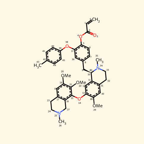 C=CC(=O)Oc1ccc(C[C@@H]2c3cc(Oc4c5c(cc(OC)c4OC)CCN(C)C5)c(OC)cc3CCN2C)cc1Oc1ccc(C)cc1